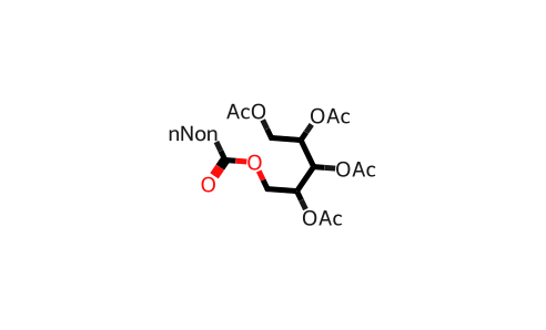 CCCCCCCCCC(=O)OCC(OC(C)=O)C(OC(C)=O)C(COC(C)=O)OC(C)=O